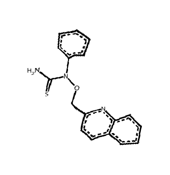 NC(=S)N(OCc1ccc2ccccc2n1)c1ccccc1